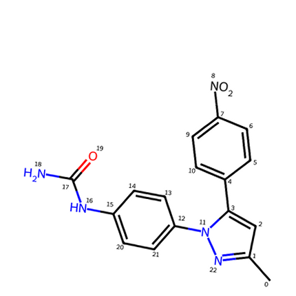 Cc1cc(-c2ccc([N+](=O)[O-])cc2)n(-c2ccc(NC(N)=O)cc2)n1